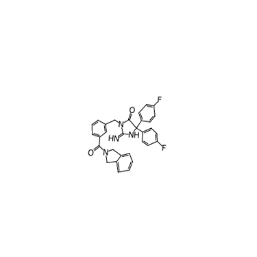 N=C1NC(c2ccc(F)cc2)(c2ccc(F)cc2)C(=O)N1Cc1cccc(C(=O)N2Cc3ccccc3C2)c1